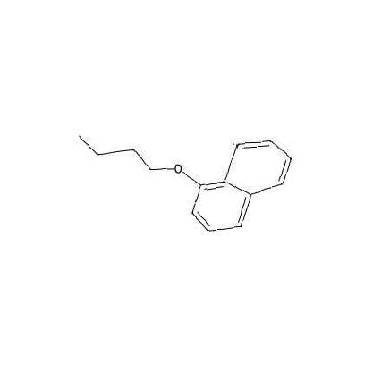 CCCCOc1cccc2ccc[c]c12